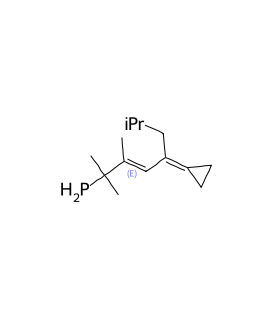 C/C(=C\C(CC(C)C)=C1CC1)C(C)(C)P